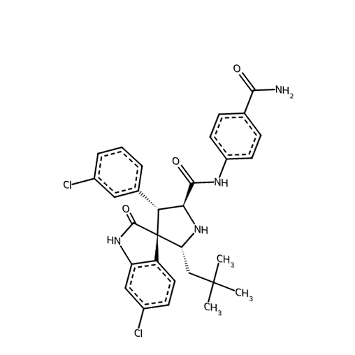 CC(C)(C)C[C@H]1N[C@H](C(=O)Nc2ccc(C(N)=O)cc2)[C@@H](c2cccc(Cl)c2)[C@@]12C(=O)Nc1cc(Cl)ccc12